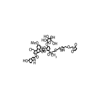 COc1ccc2c(OS(=O)(=O)Oc3cc(C(=O)N(C)CCOCCn4cc(CCOCCN5C(=O)C=CC5=O)nn4)ccc3O[C@@H]3O[C@H](CO)[C@H](O)[C@H](O)[C@H]3O)cc3c(c2c1)[C@H](CCl)CN3C(=O)c1cc2cc(O)ccc2[nH]1